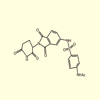 CC(=O)Nc1ccc(S(=O)(=O)Nc2ccc3c(c2)C(=O)N(C2CCC(=O)NC2=O)C3=O)cc1